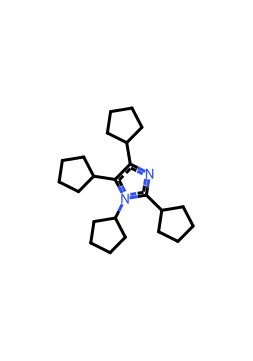 C1CCC(c2nc(C3CCCC3)n(C3CCCC3)c2C2CCCC2)C1